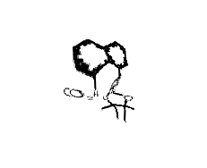 CC1(C)OB(c2cccc3cccc(C(=O)O)c23)OC1(C)C